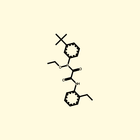 CCON(C(=O)C(=O)Nc1ccccc1CC)c1cccc(C(C)(C)C)c1